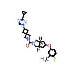 Cc1cc(OC2C[C@@H]3CN(C(=O)N4CC5(CC(n6cnc(C7CC7)n6)C5)C4)C[C@@H]3C2)ccc1F